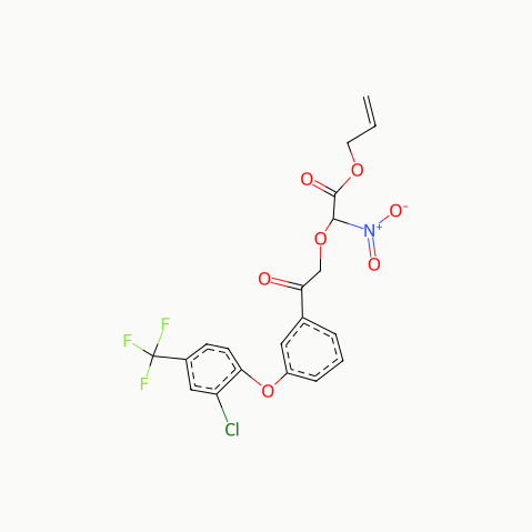 C=CCOC(=O)C(OCC(=O)c1cccc(Oc2ccc(C(F)(F)F)cc2Cl)c1)[N+](=O)[O-]